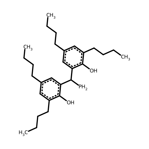 CCCCc1cc(CCCC)c(O)c(C(P)c2cc(CCCC)cc(CCCC)c2O)c1